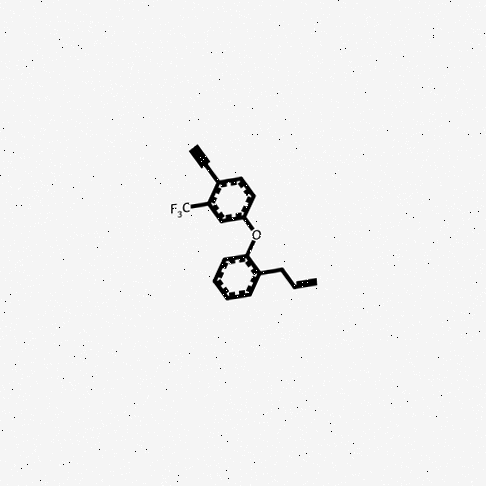 C#Cc1ccc(Oc2ccccc2CC=C)cc1C(F)(F)F